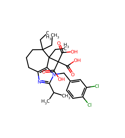 CCC1(CC)CCCc2nc(C(C)C)n(Cc3ccc(Cl)c(Cl)c3)c2C1(CC)C(C(=O)O)(C(=O)O)C(=O)O